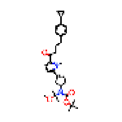 COC(C)(C)N(C(=O)OC(C)(C)C)C1CC[C@H](c2ccc(C(=O)CCCc3ccc(C4CC4)cc3)n2C)C1